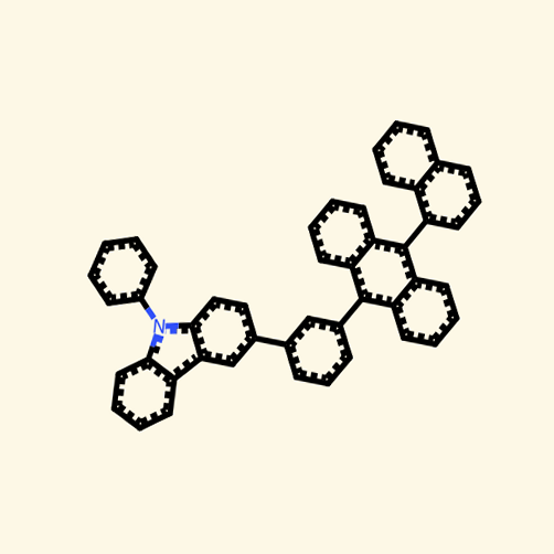 c1ccc(-n2c3ccccc3c3cc(-c4cccc(-c5c6ccccc6c(-c6cccc7ccccc67)c6ccccc56)c4)ccc32)cc1